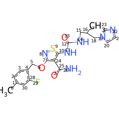 Cc1ccc(COc2nsc(NC(=O)NCC(C)Cn3ccnc3)c2C(N)=O)c(F)c1